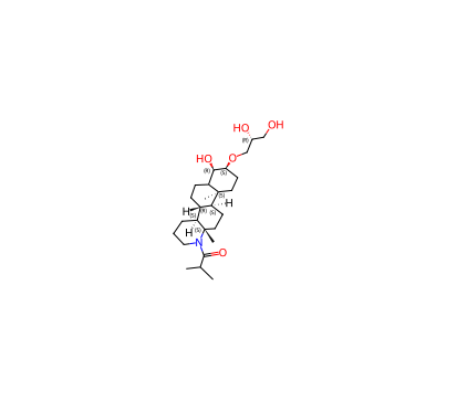 CC(C)C(=O)N1CCC[C@H]2[C@@H]3CCC4[C@@H](O)[C@@H](OC[C@H](O)CO)CC[C@@]4(C)[C@H]3CC[C@@]21C